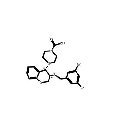 O=C(O)N1CCN([C@H]2c3ccccc3OC[C@@H]2OCc2cc(Br)cc(Br)c2)CC1